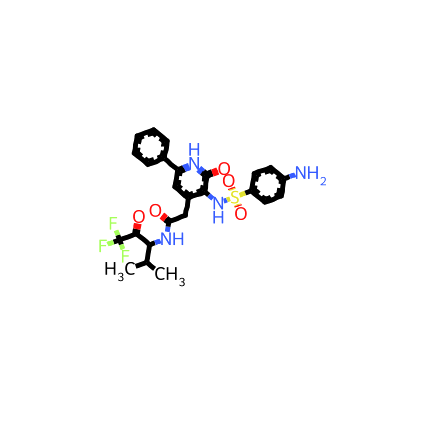 CC(C)C(NC(=O)Cc1cc(-c2ccccc2)[nH]c(=O)c1NS(=O)(=O)c1ccc(N)cc1)C(=O)C(F)(F)F